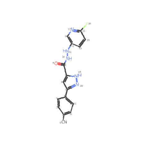 N#Cc1ccc(-c2cc(C(=O)NNc3ccc(F)nc3)[nH]n2)cc1